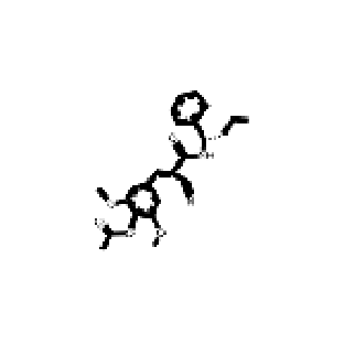 CCC[C@H](NC(=O)/C(C#N)=C/c1cc(OC)c(OC(C)=O)c(OC)c1)c1ccccc1